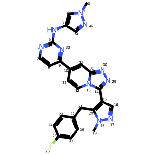 Cn1cc(Nc2nccc(-c3ccn4c(-c5cnn(C)c5Cc5ccc(F)cc5)nnc4c3)n2)cn1